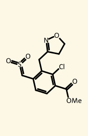 COC(=O)c1ccc(C=S(=O)=O)c(CC2=NOCC2)c1Cl